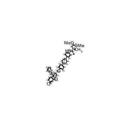 COC(CN(C)C(=S)Nc1ccc(N2CCN(c3ccc(OC[C@@H]4CO[C@@](Cn5ccnc5)(c5ccc(Cl)cc5Cl)O4)cc3)CC2)cc1)OC